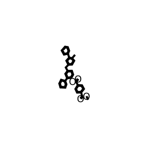 COC(=O)c1ccc(C(=O)Oc2ccc(Cc3ccc(C)c(-c4ccccc4)c3)cc2-c2ccccc2)cc1